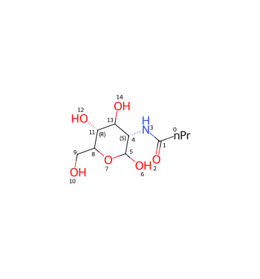 CCCC(=O)N[C@@H]1C(O)OC(CO)[C@H](O)C1O